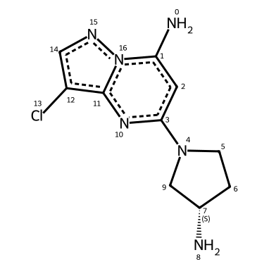 Nc1cc(N2CC[C@H](N)C2)nc2c(Cl)cnn12